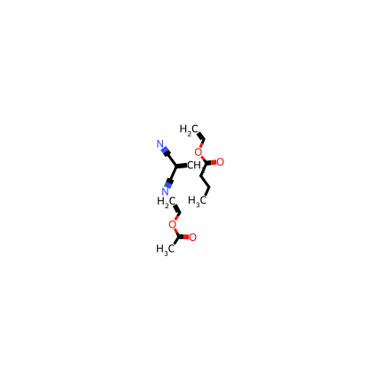 C=C(C#N)C#N.C=COC(=O)CCC.C=COC(C)=O